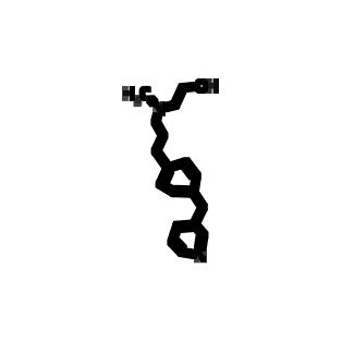 CN(CCO)CCCc1ccc(Cc2cccnc2)cc1